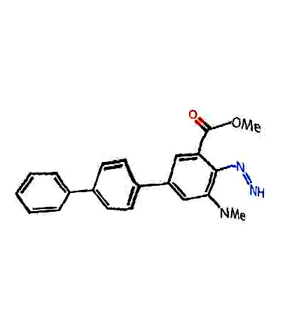 CNc1cc(-c2ccc(-c3ccccc3)cc2)cc(C(=O)OC)c1N=N